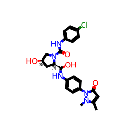 Cc1cc(=O)n(-c2ccc(NC(O)[C@H]3C[C@@H](O)CN3C(=O)Nc3ccc(Cl)cc3)cc2)n1C